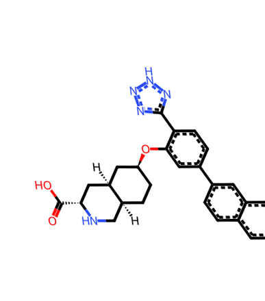 O=C(O)[C@@H]1C[C@H]2C[C@@H](Oc3cc(-c4ccc5ccccc5c4)ccc3-c3nn[nH]n3)CC[C@H]2CN1